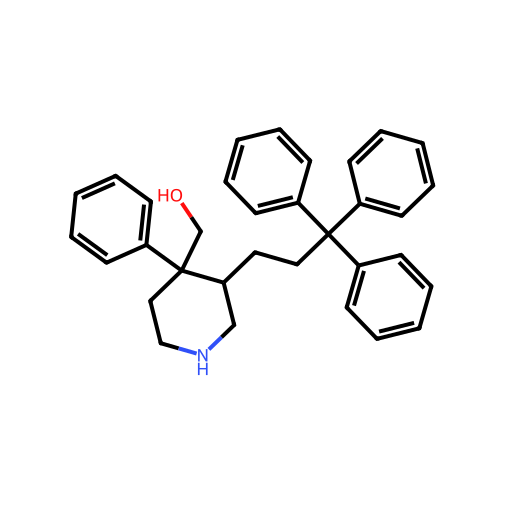 OCC1(c2ccccc2)CCNCC1CCC(c1ccccc1)(c1ccccc1)c1ccccc1